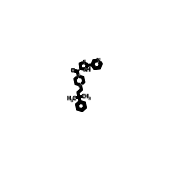 CC(C)(CCN1CCN(C(=O)[C@@H]2CSC(c3cccnc3)N2)CC1)c1ccccc1